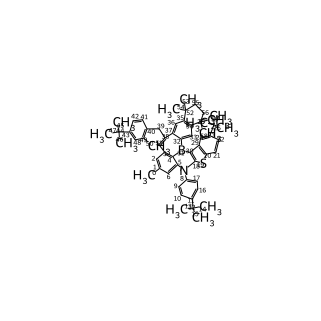 Cc1cc2c3c(c1)N(c1ccc(C(C)(C)C)cc1)c1sc4ccc(C(C)(C)C)cc4c1B3c1cc3c(cc1C(Cc1ccc(C(C)(C)C)cc1C)=C2)C(C)(C)CCC3(C)C